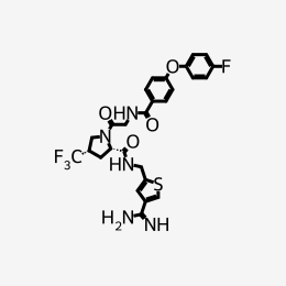 N=C(N)c1csc(CNC(=O)[C@@H]2C[C@H](C(F)(F)F)CN2C(=O)CNC(=O)c2ccc(Oc3ccc(F)cc3)cc2)c1